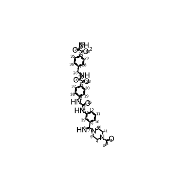 CC(=O)N1CCN(C(=N)c2cccc(NC(=O)Nc3ccc(S(=O)(=O)NCc4ccc(S(N)(=O)=O)cc4)cc3)c2)CC1